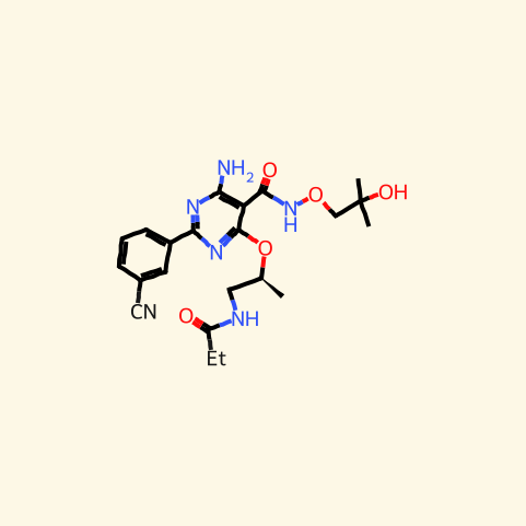 CCC(=O)NC[C@H](C)Oc1nc(-c2cccc(C#N)c2)nc(N)c1C(=O)NOCC(C)(C)O